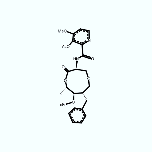 CCCO[C@@H]1[C@@H](Cc2ccccc2)CCC[C@H](NC(=O)c2nccc(OC)c2OC(C)=O)C(=O)O[C@H]1C